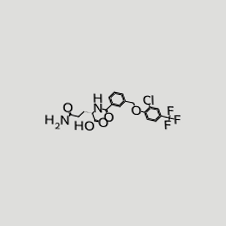 NC(=O)CC[C@H](NC(=O)c1cccc(COc2ccc(C(F)(F)F)cc2Cl)c1)C(=O)O